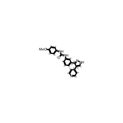 COc1ccc(NC(=O)Nc2cccc(-c3n[nH]cc3-c3ccncc3)c2)cc1